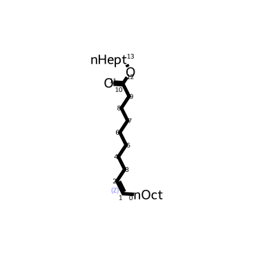 CCCCCCCC/C=C\CCCCCCCC(=O)OCCCCCCC